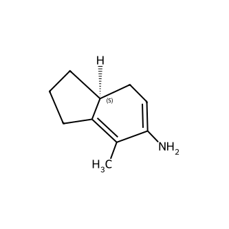 CC1=C2CCC[C@H]2CC=C1N